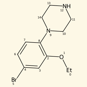 CCOc1cc(Br)ccc1N1CCNCC1